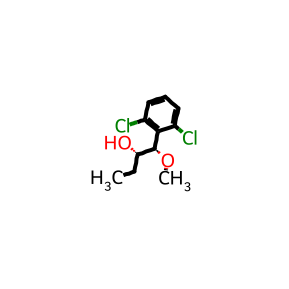 CC[C@H](O)[C@@H](OC)c1c(Cl)cccc1Cl